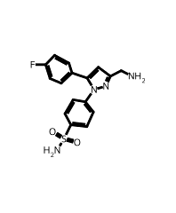 NCc1cc(-c2ccc(F)cc2)n(-c2ccc(S(N)(=O)=O)cc2)n1